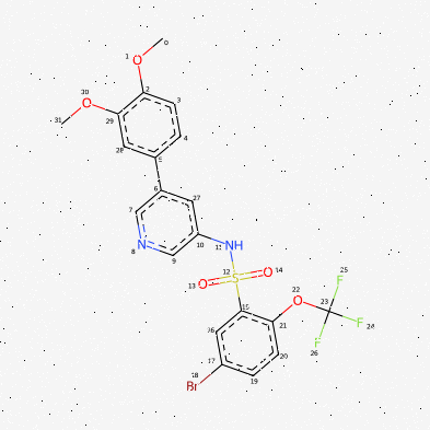 COc1ccc(-c2cncc(NS(=O)(=O)c3cc(Br)ccc3OC(F)(F)F)c2)cc1OC